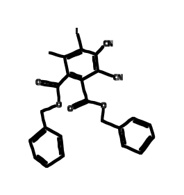 Cc1c(I)c(C#N)c(C#N)c(C(=O)OCc2ccccc2)c1C(=O)OCc1ccccc1